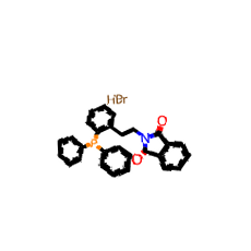 Br.O=C1c2ccccc2C(=O)N1CCc1ccccc1P(c1ccccc1)c1ccccc1